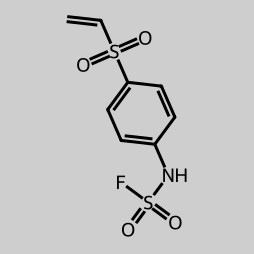 C=CS(=O)(=O)c1ccc(NS(=O)(=O)F)cc1